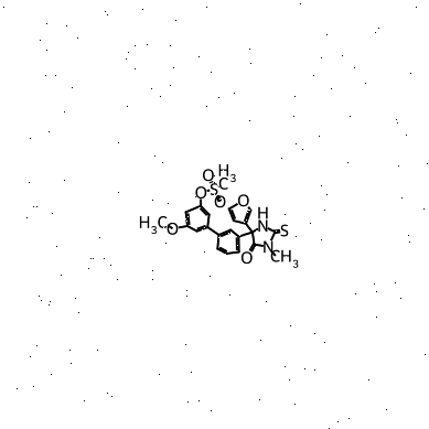 COc1cc(OS(C)(=O)=O)cc(-c2cccc(C3(c4ccoc4)NC(=S)N(C)C3=O)c2)c1